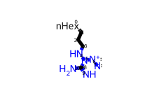 CCCCCCCCCNN([N+][N])C(=N)N